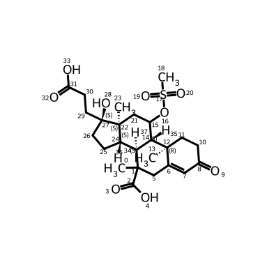 CC1(C(=O)O)CC2=CC(=O)CC[C@]2(C)[C@H]2C(OS(C)(=O)=O)C[C@@]3(C)[C@@H](CC[C@]3(O)CCC(=O)O)[C@@H]21